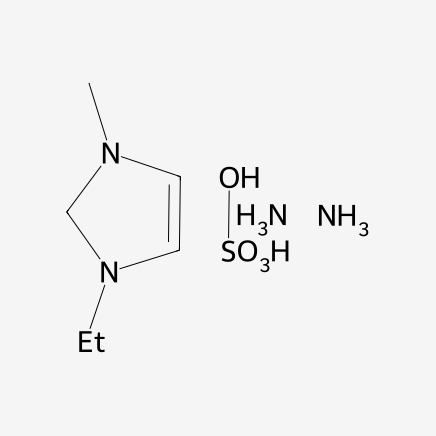 CCN1C=CN(C)C1.N.N.O=S(=O)(O)O